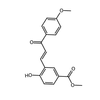 COC(=O)c1ccc(O)c(C=CC(=O)c2ccc(OC)cc2)c1